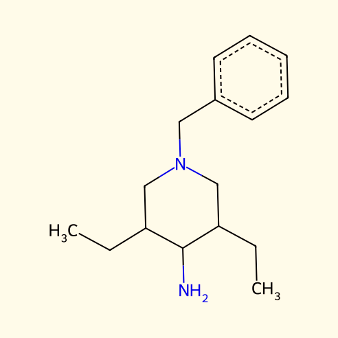 CCC1CN(Cc2ccccc2)CC(CC)C1N